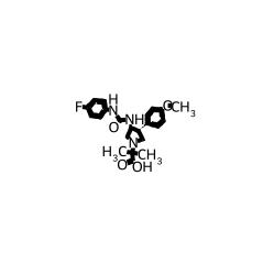 COc1ccc([C@@H]2CN(C(C)(C)C(=O)O)C[C@H]2NC(=O)Nc2ccc(F)cc2)cc1